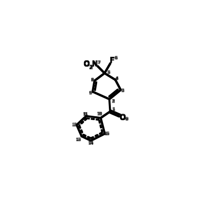 O=C(C1=CCC(F)([N+](=O)[O-])C=C1)c1ccccc1